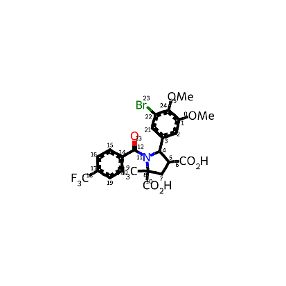 COc1cc(C2C(C(=O)O)CC(C)(C(=O)O)N2C(=O)c2ccc(C(F)(F)F)cc2)cc(Br)c1OC